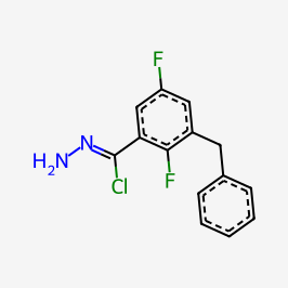 NN=C(Cl)c1cc(F)cc(Cc2ccccc2)c1F